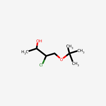 CC(O)C(Cl)COC(C)(C)C